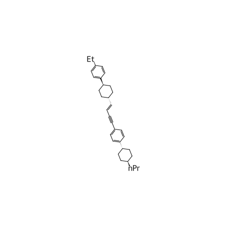 CCC[C@H]1CC[C@H](c2ccc(C#C/C=C/[C@H]3CC[C@H](c4ccc(CC)cc4)CC3)cc2)CC1